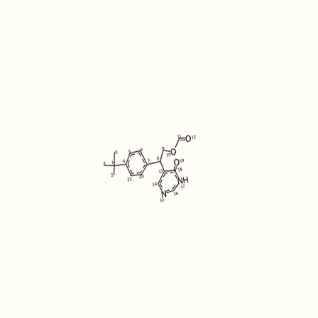 CC(C)(C)c1ccc(C(COC=O)c2cnc[nH]c2=O)cc1